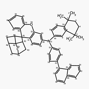 CC1(C)CCC(C)(C)c2cc(N(c3ccc(-c4cccc5ccccc45)cc3)c3ccc4c(c3)Oc3ccccc3C43C4CC5CC6CC3C64C5)ccc21